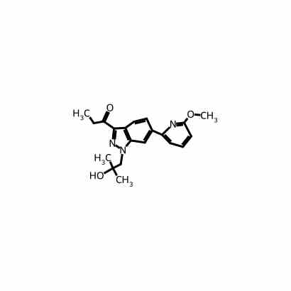 CCC(=O)c1nn(CC(C)(C)O)c2cc(-c3cccc(OC)n3)ccc12